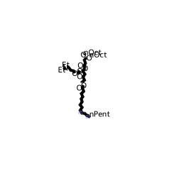 CCCCC/C=C\C/C=C\CCCCCCCC(=O)OCCC(CCOC(=O)CCC(OCCCCCCCC)OCCCCCCCC)OC(=O)OCCCN(CC)CC